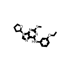 CCOc1cccc(Nc2nc(SC)nc3c2ncn3C2CCCO2)c1